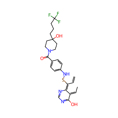 C=C/C(SNc1ccc(C(=O)N2CCC(O)(CCCC(F)(F)F)CC2)cc1)=c1/ncnc(O)/c1=C/C